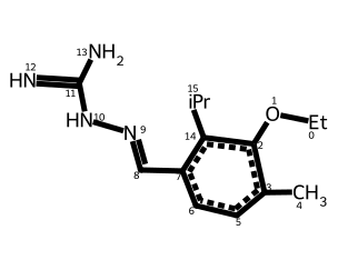 CCOc1c(C)ccc(C=NNC(=N)N)c1C(C)C